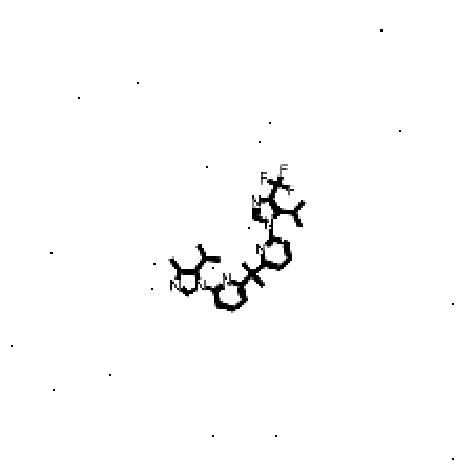 Cc1ncn(-c2cccc(C(C)(C)c3cccc(-n4cnc(C(F)(F)F)c4C(C)C)n3)n2)c1C(C)C